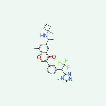 Cc1cc(C(C)NC2(C)CCC2)cc2c(=O)c(-c3cccc(C(c4nncn4C)C(F)(F)F)c3)coc12